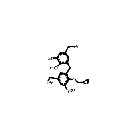 CCc1cc(CC(C)C)cc(Cc2cc(CC(C)C)cc(C(C)(C)C)c2OCC2CO2)c1O